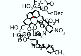 CC(=O)Nc1ccc(C(=O)OP(=O)(O)O)cc1.CC(C)(C)C(=O)Oc1c(C(=O)O)cc2ccccc2c1Cc1c(Oc2c([N+](=O)[O-])cc([N+](=O)[O-])cc2[N+](=O)[O-])c(C(=O)O)cc2ccccc12.CCC(=O)O.CCCCCCCCCCCCCCCC(=O)O.Cc1ccc(S(=O)(=O)O)cc1